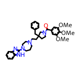 COc1cc(C(=O)N2CCC(CCN3CCCN(c4nc5ccccc5[nH]4)CC3)(Cc3ccccc3)C2)cc(OC)c1OC